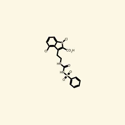 O=C(NCCc1c(C(=O)O)n(Cl)c2cccc(Cl)c12)NS(=O)(=O)c1ccccc1